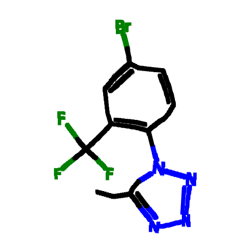 Cc1nnnn1-c1ccc(Br)cc1C(F)(F)F